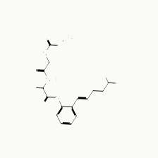 CC(CCC=Cc1ccccc1NC(=O)C(C)NC(=O)CNC(=O)OC(C)(C)C)C(=O)O